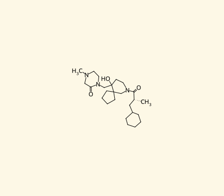 C[C@H](CC1CCCCC1)C(=O)N1CCC(O)(CN2CCN(C)CC2=O)C2(CCCC2)C1